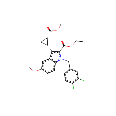 CCOC(=O)c1c([C@H]2C[C@@H]2C(=O)OC)c2cc(OC)ccc2n1Cc1ccc(Cl)c(Cl)c1